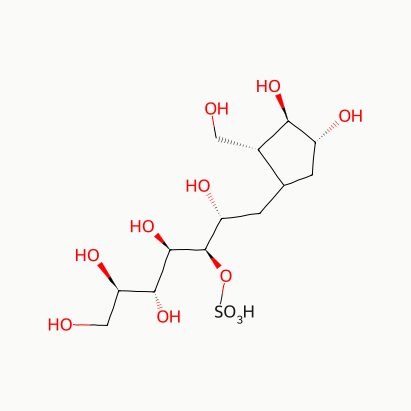 O=S(=O)(O)O[C@@H]([C@H](O)[C@H](O)[C@H](O)CO)[C@H](O)CC1C[C@@H](O)[C@H](O)[C@H]1CO